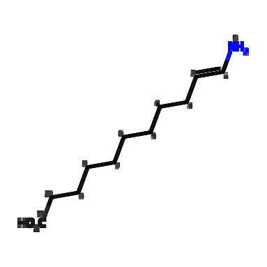 NC=CCCCCCCCCC(=O)O